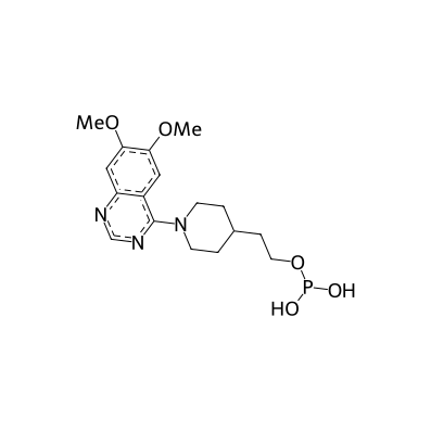 COc1cc2ncnc(N3CCC(CCOP(O)O)CC3)c2cc1OC